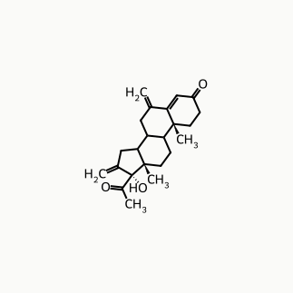 C=C1CC2C(CC[C@@]3(C)C2CC(=C)[C@]3(O)C(C)=O)[C@@]2(C)CCC(=O)C=C12